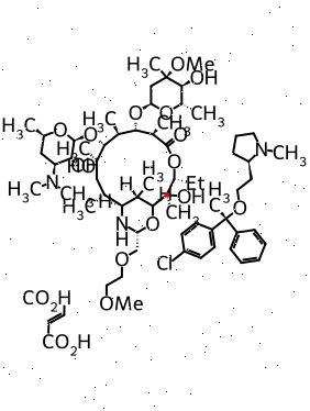 CC[C@H]1OC(=O)[C@H](C)[C@@H](O[C@H]2C[C@@](C)(OC)[C@@H](O)[C@H](C)O2)[C@H](C)[C@@H](O[C@@H]2O[C@H](C)C[C@H](N(C)C)[C@H]2O)[C@](C)(O)C[C@@H](C)[C@@H]2N[C@@H](COCCOC)O[C@@H]([C@H]2C)[C@]1(C)O.CN1CCC[C@@H]1CCO[C@](C)(c1ccccc1)c1ccc(Cl)cc1.O=C(O)/C=C/C(=O)O